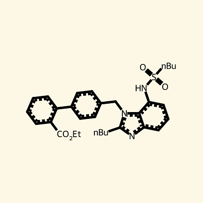 CCCCc1nc2cccc(NS(=O)(=O)CCCC)c2n1Cc1ccc(-c2ccccc2C(=O)OCC)cc1